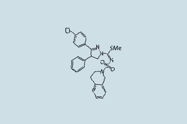 CSC(=NS(=O)(=O)N1CCc2ccccc2C1)N1CC(c2ccccc2)C(c2ccc(Cl)cc2)=N1